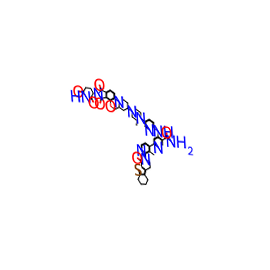 Cc1c(-c2cc(Nc3ccc(N4CCN(C5CCN6c7ccc8c(c7OCC6C5)C(=O)N(C5CCC(=O)NC5=O)C8=O)C[C@@H]4C)cn3)c(C(N)=O)cn2)ccnc1N1CCc2c(sc3c2CCCC3)C1=O